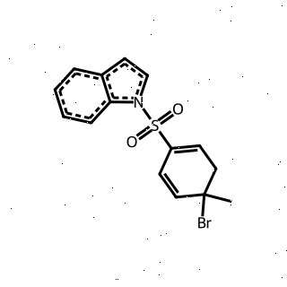 CC1(Br)C=CC(S(=O)(=O)n2ccc3ccccc32)=CC1